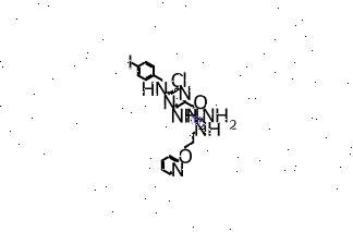 N/C(=N\C(=O)c1nc(Cl)c(NCc2ccc(I)cc2)nc1N)NCCCOc1ccccn1